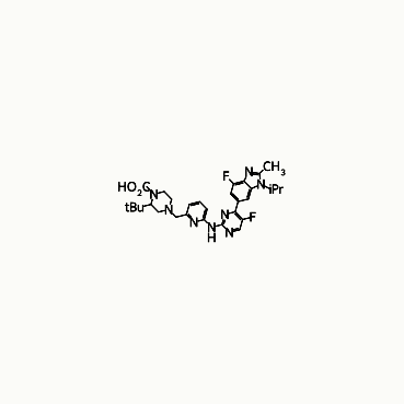 Cc1nc2c(F)cc(-c3nc(Nc4cccc(CN5CCN(C(=O)O)C(C(C)(C)C)C5)n4)ncc3F)cc2n1C(C)C